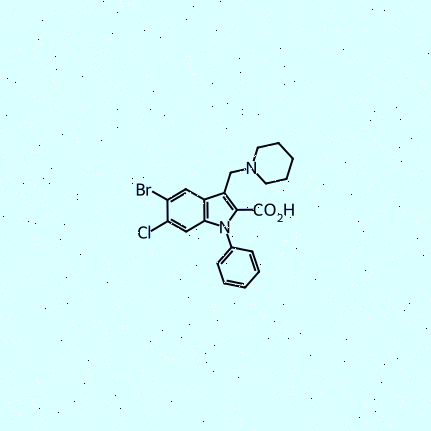 O=C(O)c1c(CN2CCCCC2)c2cc(Br)c(Cl)cc2n1-c1ccccc1